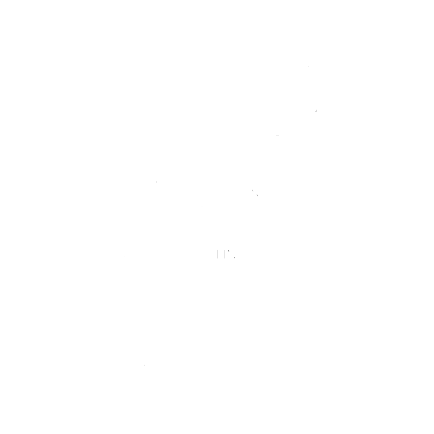 Cc1ccccc1CNC(=O)N(Cc1ccccc1)Cc1ccccc1